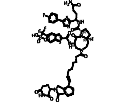 NC(=O)CCC(NC(=O)[C@@H]1CC[C@@H]2CCN(C(=O)CCCCCC#Cc3cccc4c3CN(C3CCC(=O)NC3=O)C4=O)C[C@H](NC(=O)c3cc4cc(C(F)(F)P(=O)(O)O)ccc4s3)C(=O)N21)c1ncc(-c2ccc(F)cc2)s1